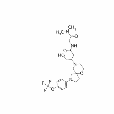 CN(C)C(=O)CNC(=O)CC(CO)N1CCOC2(CCN(c3ccc(OC(F)(F)F)cc3)C2)C1